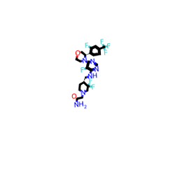 NC(=O)CN1CC[C@H](CNc2ncnc(N3CCOC[C@@H]3c3ccc(C(F)(F)F)cc3F)c2F)C(F)(F)C1